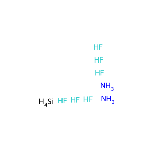 F.F.F.F.F.F.N.N.[SiH4]